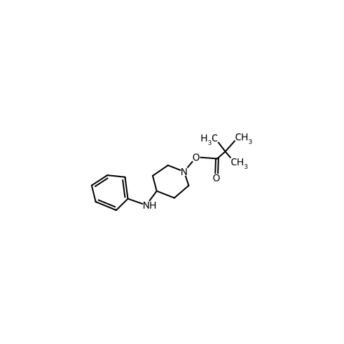 CC(C)(C)C(=O)ON1CCC(Nc2ccccc2)CC1